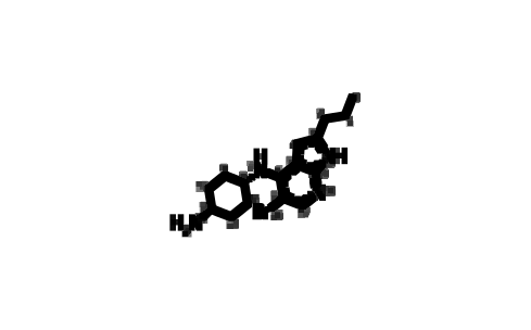 CCCc1cc2c(N[C@H]3CC[C@H](N)CC3)c(Br)cnc2[nH]1